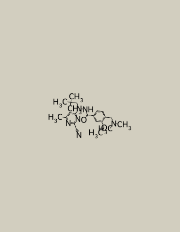 COc1cc(C(=O)NN(CC(C)(C)C)c2cc(C)nc(C#N)n2)ccc1CN(C)C